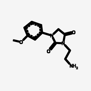 COc1cccc(N2CC(=O)N(CCN)C2=O)c1